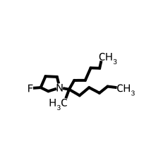 CCCCCC(C)(CCCCC)N1CCC(F)C1